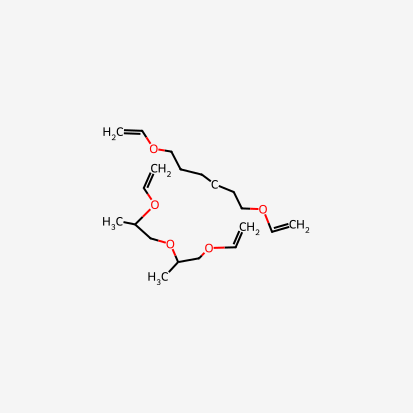 C=COCC(C)OCC(C)OC=C.C=COCCCCCCOC=C